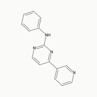 c1ccc(Nc2nccc(-c3cccnc3)n2)cc1